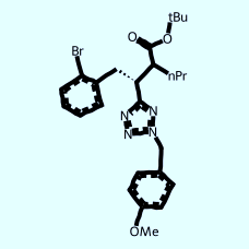 CCCC(C(=O)OC(C)(C)C)[C@@H](Cc1ccccc1Br)c1nnn(Cc2ccc(OC)cc2)n1